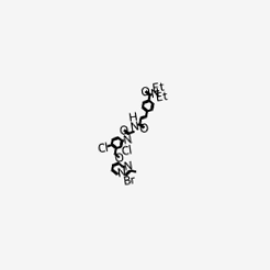 CCN(CC)C(=O)c1ccc(/C=C/C(=O)NCC(=O)N(C)c2ccc(Cl)c(COc3cccn4c(Br)c(C)nc34)c2Cl)cc1